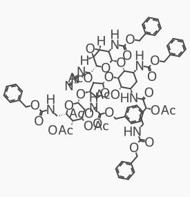 CC(=O)OC[C@H]1O[C@@H](O[C@@H]2[C@@H](OC(C)=O)[C@H](NC(=O)[C@H](CCNC(=O)OCc3ccccc3)OC(C)=O)C[C@H](NC(=O)OCc3ccccc3)[C@H]2O[C@H]2O[C@H](CN=[N+]=[N-])[C@@H]3O[C@@H]3[C@H]2NC(=O)OCc2ccccc2)[C@H](OC(C)=O)[C@@H]1O[C@H]1O[C@@H](CNC(=O)OCc2ccccc2)[C@@H](OC(C)=O)[C@H](OC(C)=O)[C@H]1NC(=O)OCc1ccccc1